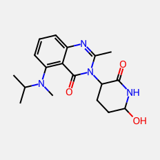 Cc1nc2cccc(N(C)C(C)C)c2c(=O)n1C1CCC(O)NC1=O